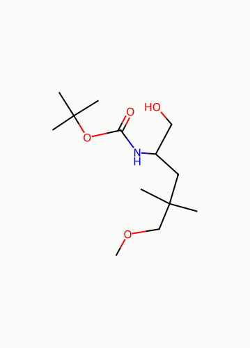 COCC(C)(C)CC(CO)NC(=O)OC(C)(C)C